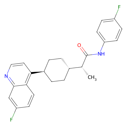 C[C@@H](C(=O)Nc1ccc(F)cc1)[C@H]1CC[C@H](c2ccnc3cc(F)ccc32)CC1